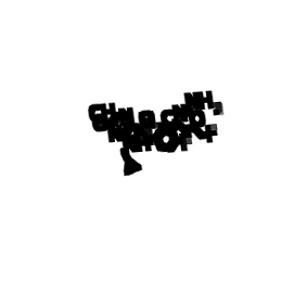 COc1cnc(C(=O)Nc2ccc(F)c([C@]3(C)C=C(CF)OC(N)=N3)c2)c(NCC2CC2)n1